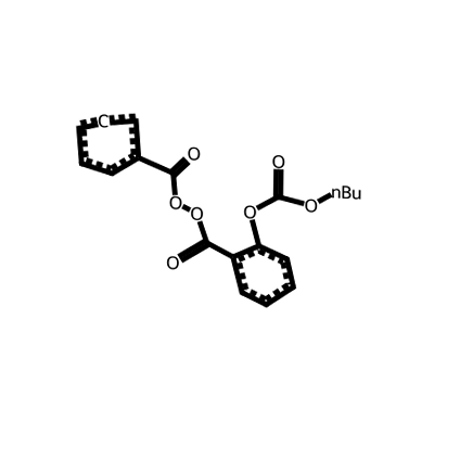 CCCCOC(=O)Oc1ccccc1C(=O)OOC(=O)c1ccccc1